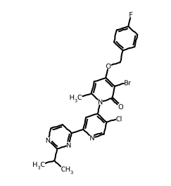 Cc1cc(OCc2ccc(F)cc2)c(Br)c(=O)n1-c1cc(-c2ccnc(C(C)C)n2)ncc1Cl